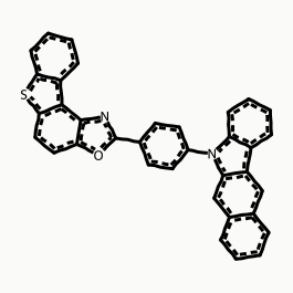 c1ccc2cc3c(cc2c1)c1ccccc1n3-c1ccc(-c2nc3c(ccc4sc5ccccc5c43)o2)cc1